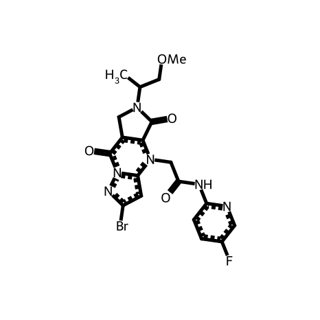 COCC(C)N1Cc2c(n(CC(=O)Nc3ccc(F)cn3)c3cc(Br)nn3c2=O)C1=O